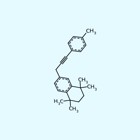 Cc1ccc(C#CCc2ccc3c(c2)C(C)(C)CCC3(C)C)cc1